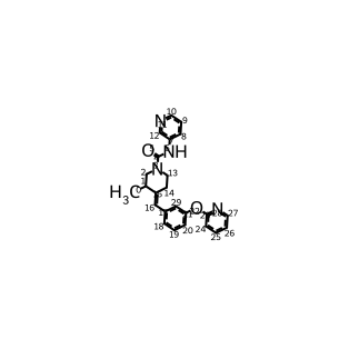 CC1CN(C(=O)Nc2cccnc2)CCC1=Cc1cccc(Oc2ccccn2)c1